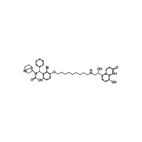 O=C(O)N(C(c1ccccc1)c1cccc(OCCCCCCCCCNCC(O)c2ccc(O)c3[nH]c(=O)ccc23)c1Br)C1CN2CCC1CC2